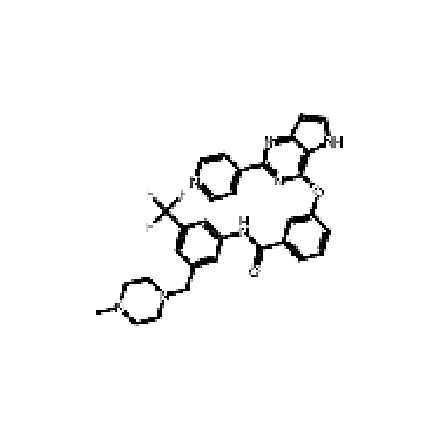 CN1CCN(Cc2cc(NC(=O)c3cccc(Oc4nc(-c5ccncc5)nc5cc[nH]c45)c3)cc(C(F)(F)F)c2)CC1